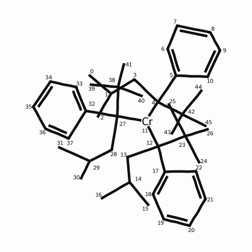 CC(C)C[C](c1ccccc1)([Cr]([C](CC(C)C)(c1ccccc1)C(C)(C)C)[C](CC(C)C)(c1ccccc1)C(C)(C)C)C(C)(C)C